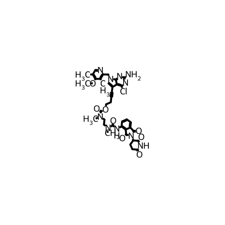 COc1c(C)cnc(Cn2cc(C#CCCOC(=O)N(C)CCN(C)C(=O)Nc3cccc4c3C(=O)N(C3CCC(=O)NC3=O)C4=O)c3c(Cl)nc(N)nc32)c1C